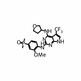 COc1cc(P(C)(C)=O)ccc1Nc1nc(NC2CCOC2)c2c(C(F)(F)F)c[nH]c2n1